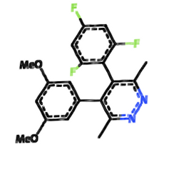 COc1cc(OC)cc(-c2c(C)nnc(C)c2-c2c(F)cc(F)cc2F)c1